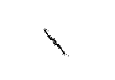 C=CC(=O)OCCCCCOC(=O)Oc1ccc(C(=O)O[C@H]2COC3C2OC[C@@H]3OC(=O)c2ccc(OC(=O)OCCCCCOC(=O)C=C)cc2)cc1